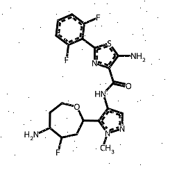 Cn1ncc(NC(=O)c2nc(-c3c(F)cccc3F)sc2N)c1C1CC(F)C(N)CCO1